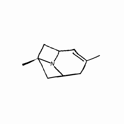 CC1=CC2C[C@@]3(C)CC(C1)N23